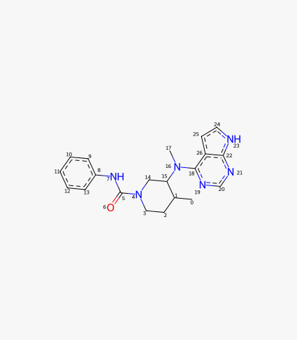 CC1CCN(C(=O)Nc2ccccc2)CC1N(C)c1ncnc2[nH]ccc12